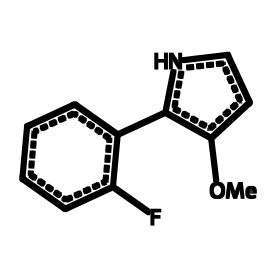 COc1cc[nH]c1-c1ccccc1F